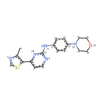 Cc1ncsc1-c1ccnc(Nc2ccc(N3CCOCC3)cc2)n1